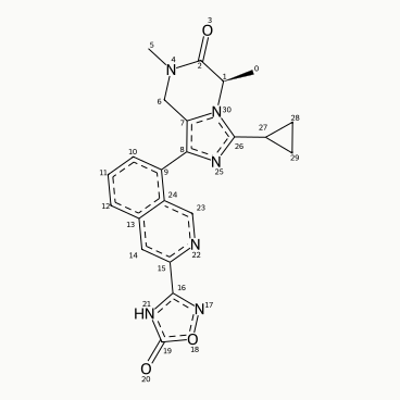 C[C@@H]1C(=O)N(C)Cc2c(-c3cccc4cc(-c5noc(=O)[nH]5)ncc34)nc(C3CC3)n21